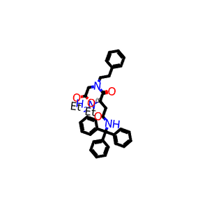 CCOC(CN(CCc1ccccc1)C(=O)[C@@H](N)CC(=O)NC(c1ccccc1)(c1ccccc1)c1ccccc1)OCC